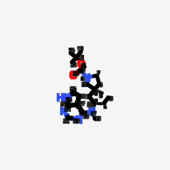 CC[C@@H](C[C@]1(C)CCN(C(=O)OC(C)(C)C)C1)N(C)c1ncnc2[nH]ccc12